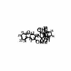 COc1cc2c(cc1N1C(=O)[C@@H]3[C@H](C1=O)[C@H]1CC[C@@H]3O1)oc1ccccc12